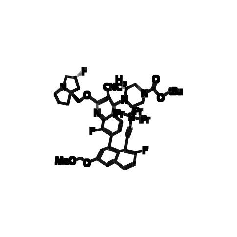 COCOc1cc(-c2ccc3c(N4CCN(C(=O)OC(C)(C)C)C[C@H]4C)c(C#N)c(OC[C@@]45CCCN4C[C@H](F)C5)nc3c2F)c2c(C#C[Si](C(C)C)(C(C)C)C(C)C)c(F)ccc2c1